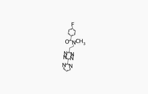 CN(CCc1nnc(-c2ncccn2)nn1)C(=O)c1ccc(F)cc1